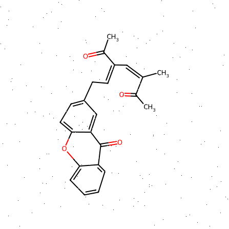 CC(=O)C(C)=CC(=CCc1ccc2oc3ccccc3c(=O)c2c1)C(C)=O